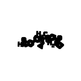 Cc1c(-c2cc3ccc(-c4ccc5c(c4)C(=O)NC5)cc3n2CC2CC2)oc2cc(C(=O)N3CC4CCC3[C@@H]4N)ccc12